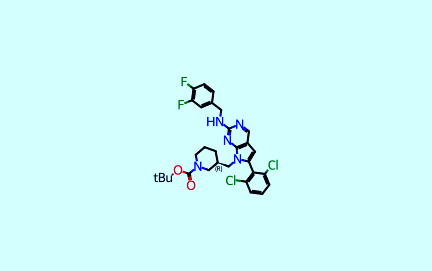 CC(C)(C)OC(=O)N1CCC[C@@H](Cn2c(-c3c(Cl)cccc3Cl)cc3cnc(NCc4ccc(F)c(F)c4)nc32)C1